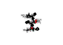 CC(C)(C)C(=O)OCOC(=O)[C@@H]1N2C(=O)[C@@H](N=CN3CCCCCC3)[C@H]2SC1(C)C.CC1(C)S[C@@H]2[C@H](NC(=O)C(C(=O)Oc3ccc4c(c3)CCC4)c3ccccc3)C(=O)N2[C@H]1C(=O)O.CC1(C)S[C@@H]2[C@H](NC(=O)C(C(=O)Oc3ccccc3)c3ccccc3)C(=O)N2[C@H]1C(=O)O